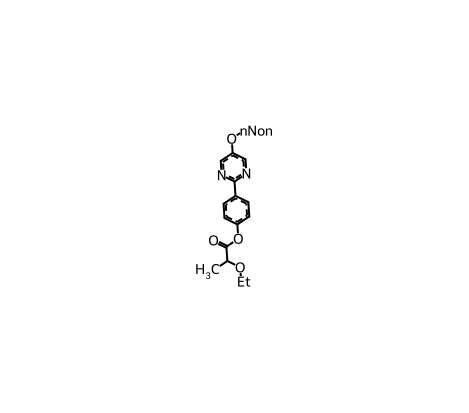 CCCCCCCCCOc1cnc(-c2ccc(OC(=O)C(C)OCC)cc2)nc1